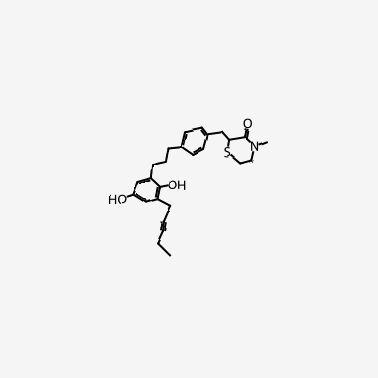 CCC#CCc1cc(O)cc(CCCc2ccc(CC3SCCN(C)C3=O)cc2)c1O